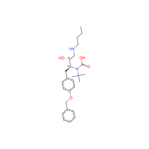 CCCCNC[C@@H](O)[C@H](Cc1ccc(OCc2ccccc2)cc1)N(C(=O)O)C(C)(C)C